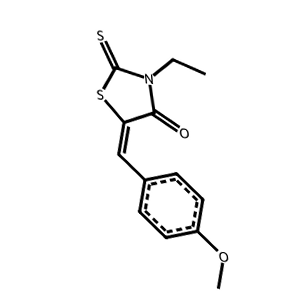 CCN1C(=O)/C(=C\c2ccc(OC)cc2)SC1=S